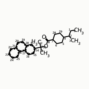 CCC(C)C1CCC(C(=O)OC(C)(C)c2ccc3c(ccc4ccccc43)c2)CC1